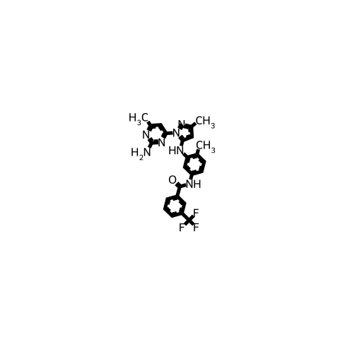 Cc1cc(-n2nc(C)cc2Nc2cc(NC(=O)c3cccc(C(F)(F)F)c3)ccc2C)nc(N)n1